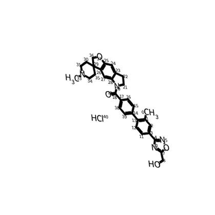 Cc1cc(-c2noc(CO)n2)ccc1-c1ccc(C(=O)N2CCc3cc4c(cc32)C2(CCN(C)CC2)CO4)cc1.Cl